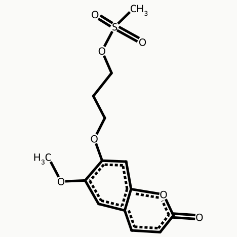 COc1cc2ccc(=O)oc2cc1OCCCOS(C)(=O)=O